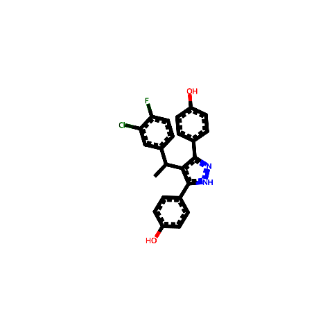 CC(c1ccc(F)c(Cl)c1)c1c(-c2ccc(O)cc2)n[nH]c1-c1ccc(O)cc1